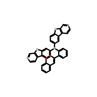 c1ccc(N(c2ccc3c(c2)oc2cnccc23)c2ccc3oc4cnccc4c3c2)c(-c2ccc3ccccc3c2)c1